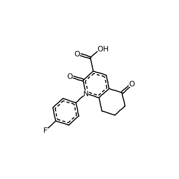 O=C1CCCc2c1cc(C(=O)O)c(=O)n2-c1ccc(F)cc1